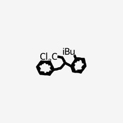 CCC(C)c1ccccc1[C](Cc1ccccc1)CC(Cl)(Cl)Cl